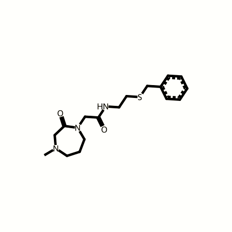 CN1CCCN(CC(=O)NCCSCc2ccccc2)C(=O)C1